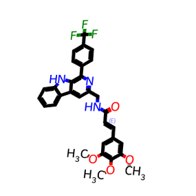 COc1cc(/C=C/C(=O)NCc2cc3c([nH]c4ccccc43)c(-c3ccc(C(F)(F)F)cc3)n2)cc(OC)c1OC